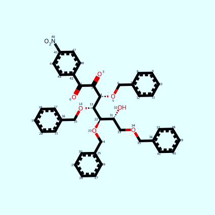 O=C(C(=O)[C@H](OCc1ccccc1)[C@@H](OCc1ccccc1)[C@H](OCc1ccccc1)[C@H](O)COCc1ccccc1)c1ccc([N+](=O)[O-])cc1